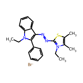 CCn1c(-c2ccccc2)c(/N=N/c2sc(C)c(C)[n+]2CC)c2ccccc21.[Br-]